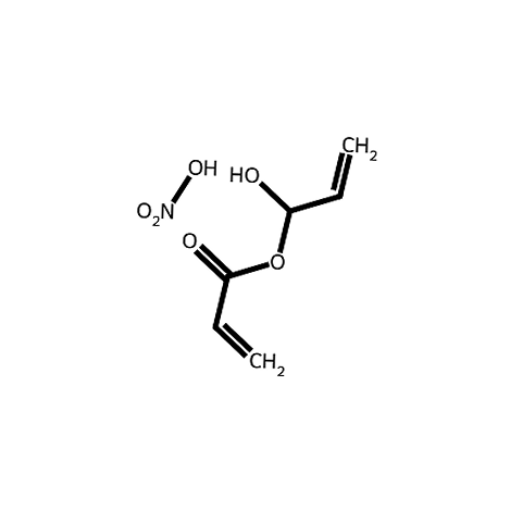 C=CC(=O)OC(O)C=C.O=[N+]([O-])O